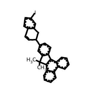 CC1(C)c2cc(C3C=Cc4ccc(I)cc4C3)ccc2-c2c1c1ccccc1c1ccccc21